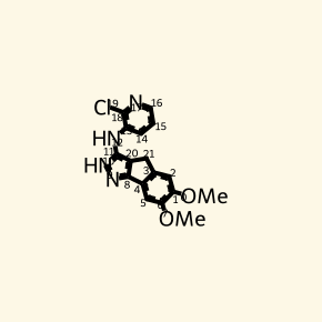 COc1cc2c(cc1OC)-c1n[nH]c(Nc3cccnc3Cl)c1C2